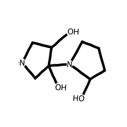 OC1CCCN1C1(O)C[N]CC1O